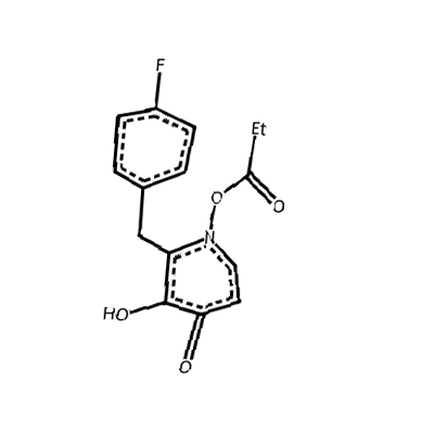 CCC(=O)On1ccc(=O)c(O)c1Cc1ccc(F)cc1